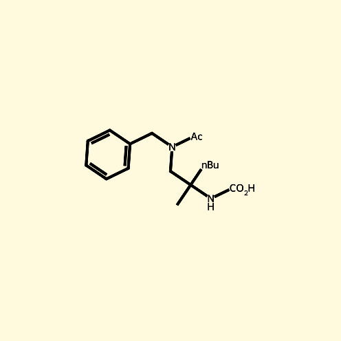 CCCCC(C)(CN(Cc1ccccc1)C(C)=O)NC(=O)O